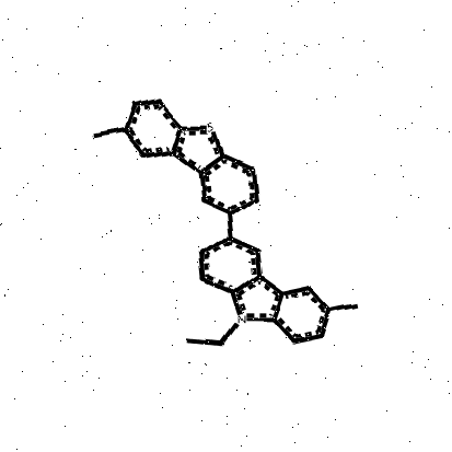 CCn1c2ccc(C)cc2c2cc(-c3ccc4sc5ccc(C)cc5c4c3)ccc21